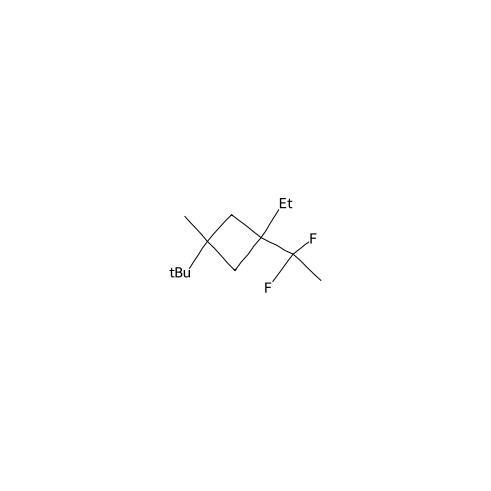 CCC1(C(C)(F)F)CC(C)(C(C)(C)C)C1